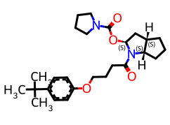 CC(C)(C)c1ccc(OCCCC(=O)N2[C@@H](OC(=O)N3CCCC3)C[C@@H]3CCC[C@@H]32)cc1